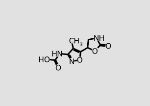 Cc1c(NC(=O)O)noc1C1CNC(=O)O1